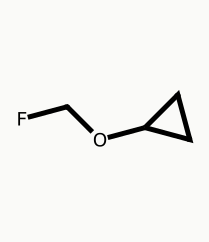 FCOC1CC1